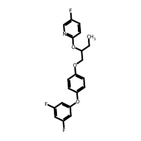 CCC(COc1ccc(Oc2cc(F)cc(F)c2)cc1)Oc1ccc(F)cn1